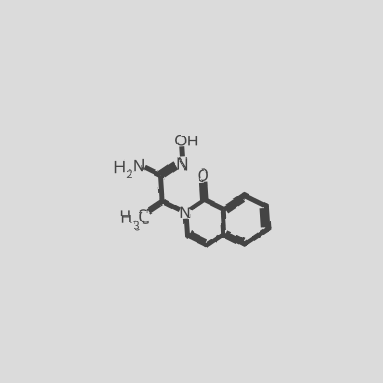 CC(C(N)=NO)n1ccc2ccccc2c1=O